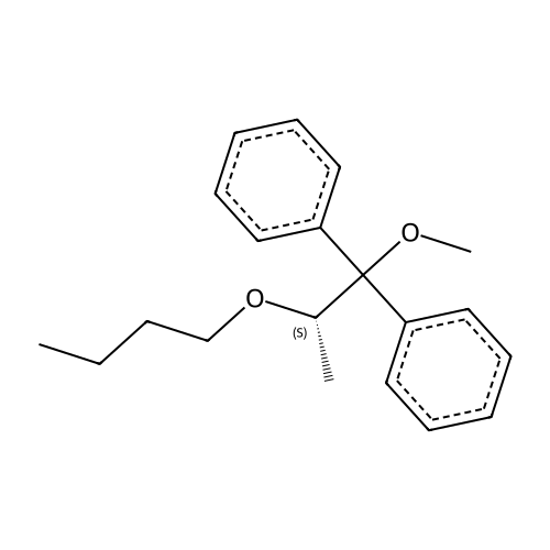 CCCCO[C@@H](C)C(OC)(c1ccccc1)c1ccccc1